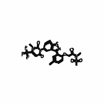 Cc1ccc(OCC(=O)N(C)S(C)(=O)=O)c(-c2nsc3ccc(-n4c(=O)cc(C(F)(F)F)n(C)c4=O)cc23)c1